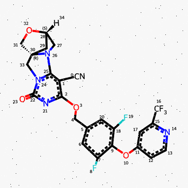 N#Cc1c(OCc2cc(F)c(Oc3ccnc(C(F)(F)F)c3)c(F)c2)nc(=O)n2c1N1C[C@@H]3C[C@]1(CO3)C2